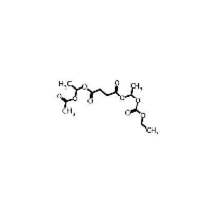 CCOC(=O)OC(C)OC(=O)CCC(=O)OC(C)OC(C)=O